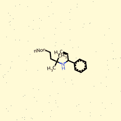 C=CC(NC(C)(C)CCCCCCCCCCC)c1ccccc1